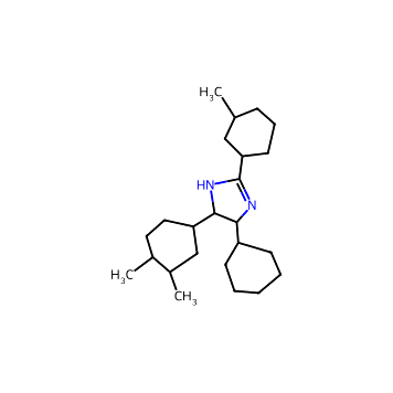 CC1CCCC(C2=NC(C3CCCCC3)C(C3CCC(C)C(C)C3)N2)C1